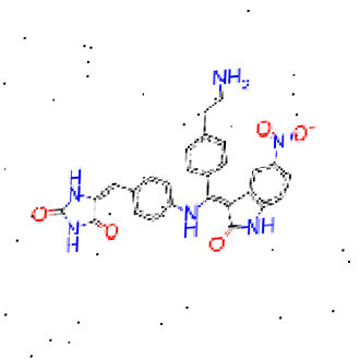 NCCc1ccc(/C(Nc2ccc(/C=C3/NC(=O)NC3=O)cc2)=C2/C(=O)Nc3ccc([N+](=O)[O-])cc32)cc1